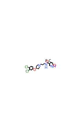 O=C(NCCCN1CCC(Oc2ccc(Cl)c(Cl)c2)CC1)c1c[nH]c(=O)cc1C(F)(F)F